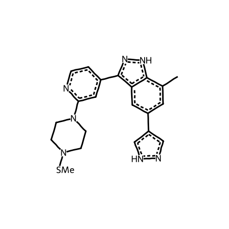 CSN1CCN(c2cc(-c3n[nH]c4c(C)cc(-c5cn[nH]c5)cc34)ccn2)CC1